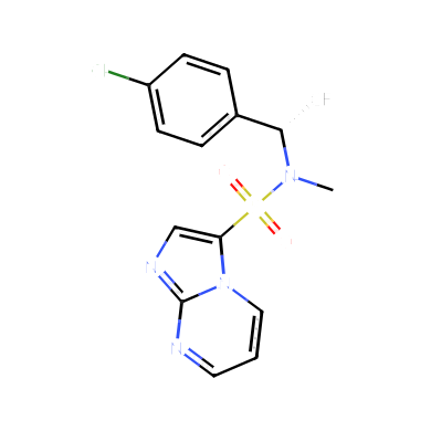 CN([C@H](c1ccc(Cl)cc1)C(F)(F)F)S(=O)(=O)c1cnc2ncccn12